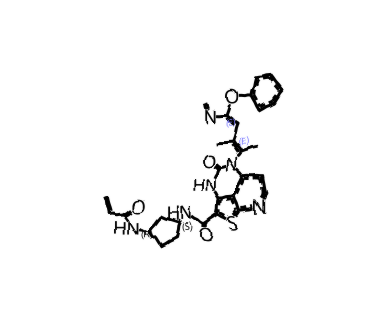 C=CC(=O)N[C@@H]1CC[C@H](NC(=O)c2sc3nccc4c3c2NC(=O)N4/C(C)=C(C)/C=C(\N=C)Oc2ccccc2)C1